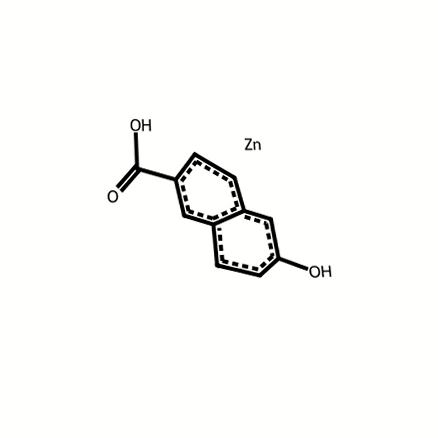 O=C(O)c1ccc2cc(O)ccc2c1.[Zn]